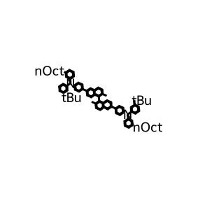 CCCCCCCCc1cccc(N(c2ccc(-c3ccc4c(-c5c(C)ccc6cc(-c7ccc(N(c8cccc(CCCCCCCC)c8)c8cccc(C(C)(C)C)c8)cc7)ccc56)c(C)ccc4c3)cc2)c2cccc(C(C)(C)C)c2)c1